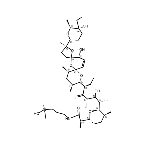 CC[C@@H](C(=O)[C@@H](C)[C@@H](O)[C@H](C)[C@@H]1O[C@@H]([C@@H](C)C(=O)NCCC[Si](C)(C)O)CC[C@@H]1C)[C@H]1O[C@]2(C=C[C@@H](O)[C@]3(CC[C@@](C)([C@H]4CC[C@](O)(CC)[C@H](C)O4)O3)O2)[C@H](C)C[C@@H]1C